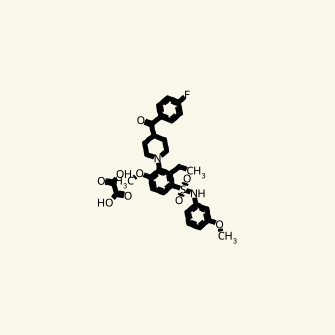 CCc1c(S(=O)(=O)Nc2cccc(OC)c2)ccc(OC)c1N1CCC(C(=O)c2ccc(F)cc2)CC1.O=C(O)C(=O)O